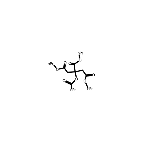 CCCOC(=O)CC(CC(=O)OCCC)(OC(=O)CCC)C(=O)OCCC